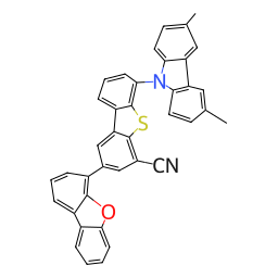 Cc1ccc2c(c1)c1cc(C)ccc1n2-c1cccc2c1sc1c(C#N)cc(-c3cccc4c3oc3ccccc34)cc12